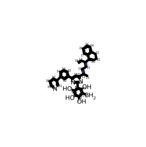 Bc1c(O)c(O)c(O)c(-c2nc(/C(C)=C/C=C(\C=C)C3=CCCc4ccccc43)cc(-c3cccc(-c4cccnc4)c3)n2)c1O